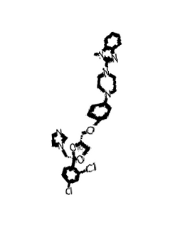 Cn1c(N2CCN(c3ccc(OC[C@@H]4CO[C@@](Cn5ccnc5)(c5ccc(Cl)cc5Cl)O4)cc3)CC2)nc2ccccc21